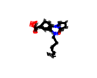 CCCCCNc1cc(C(=O)O)ccc1N1CCCC1=O